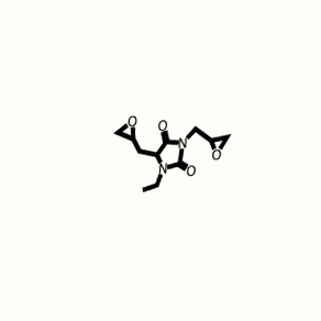 CCN1C(=O)N(CC2CO2)C(=O)C1CC1CO1